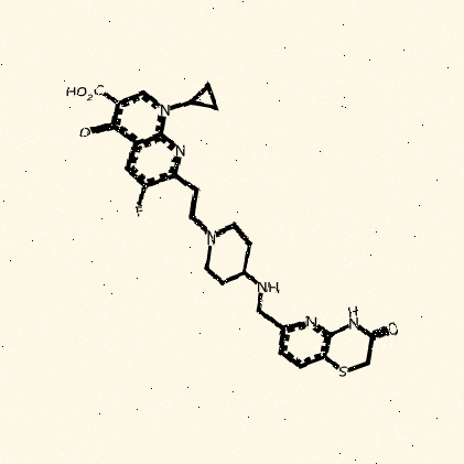 O=C1CSc2ccc(CNC3CCN(CCc4nc5c(cc4F)c(=O)c(C(=O)O)cn5C4CC4)CC3)nc2N1